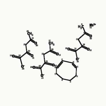 C1=C\CCCC\C=C/1.CC(=O)CC(=O)C(=O)[O-].CC(=O)CC(=O)C(=O)[O-].CC(=O)CC(=O)C(=O)[O-].[Rh+3]